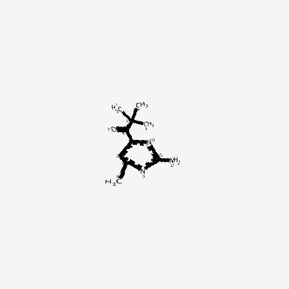 Cc1cc(C(=O)C(C)(C)C)nc(N)n1